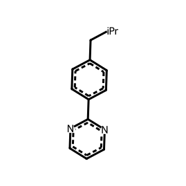 CC(C)Cc1ccc(-c2ncccn2)cc1